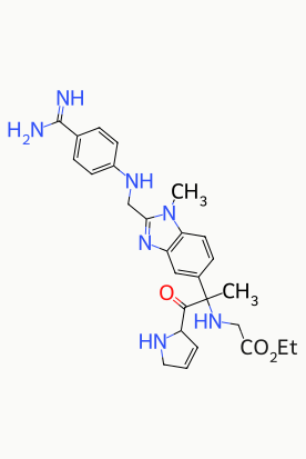 CCOC(=O)CNC(C)(C(=O)C1C=CCN1)c1ccc2c(c1)nc(CNc1ccc(C(=N)N)cc1)n2C